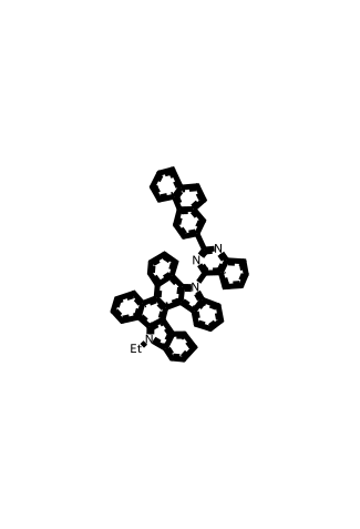 CCn1c2ccccc2c2c3c(c4ccccc4c21)c1ccccc1c1c3c2ccccc2n1-c1nc(-c2ccc3c(ccc4ccccc43)c2)nc2ccccc12